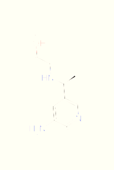 C[C@H](NCCO)c1cncc(N)c1